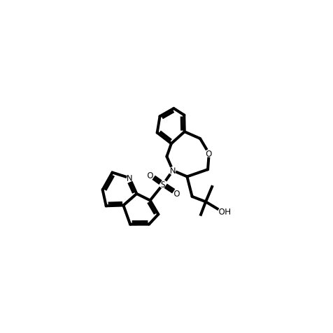 CC(C)(O)CC1COCc2ccccc2CN1S(=O)(=O)c1cccc2cccnc12